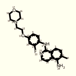 Cc1ccc2c(Nc3ccc(OCCN4CCOCC4)cc3F)nccc2c1N